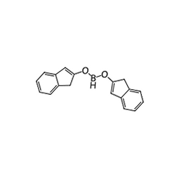 B(OC1=Cc2ccccc2C1)OC1=Cc2ccccc2C1